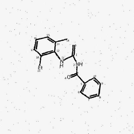 C=C(NC(=O)c1ccccc1)Nc1c(C)cccc1CC